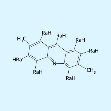 Cc1[c]([RaH])[c]([RaH])c2[c]([RaH])c3[c]([RaH])c(C)[c]([RaH])[c]([RaH])c3nc2[c]1[RaH]